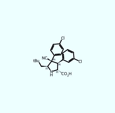 CC(C)(C)C[C@@H]1N[C@@H](C(=O)O)[C@H](c2cccc(Cl)c2)[C@@]1(C#N)c1ccc(Cl)cc1